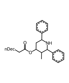 CCCCCCCCCCCC(=O)OC1CC(c2ccccc2)NC(c2ccccc2)C1C